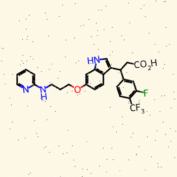 O=C(O)CC(c1ccc(C(F)(F)F)c(F)c1)c1c[nH]c2cc(OCCCNc3ccccn3)ccc12